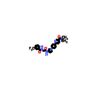 CN(C)C(=O)c1ccc(C2CCC(N3CCC(NC(=O)CNC(=O)c4cccc(C(F)(F)F)c4)C3)CC2)nc1